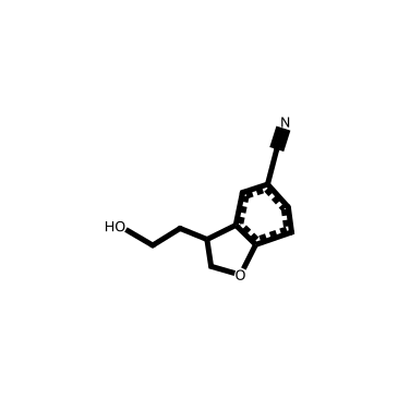 N#Cc1ccc2c(c1)C(CCO)CO2